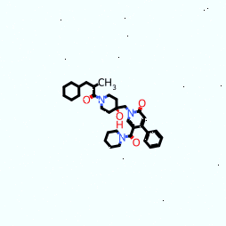 CC(CC1CCCCC1)C(=O)N1CCC(O)(Cn2cc(C(=O)N3CCCCC3)c(-c3ccccc3)cc2=O)CC1